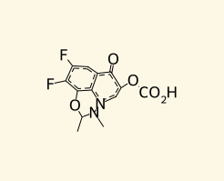 CC1Oc2c(F)c(F)cc3c(=O)c(OC(=O)O)cn(c23)N1C